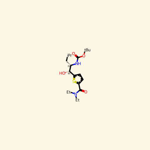 CCN(CC)C(=O)c1ccc([C@H](O)[C@H](CC(C)C)NC(=O)OC(C)(C)C)s1